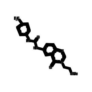 COCCn1cnc2ccc(NC(=O)Nc3ccc(C(F)(F)F)cc3)cc2c1=O